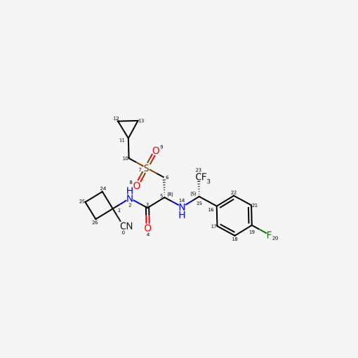 N#CC1(NC(=O)[C@H](CS(=O)(=O)CC2CC2)N[C@@H](c2ccc(F)cc2)C(F)(F)F)CCC1